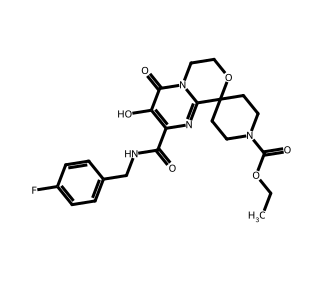 CCOC(=O)N1CCC2(CC1)OCCn1c2nc(C(=O)NCc2ccc(F)cc2)c(O)c1=O